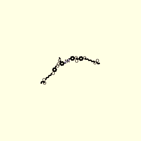 C=CC(=O)OCCCCCCOc1ccc(COOc2ccc(/C=N/N=C/c3ccc(OC(=O)c4ccc(OCCCCCCOC(=O)C=C)cc4)cc3)cc2OCC)cc1